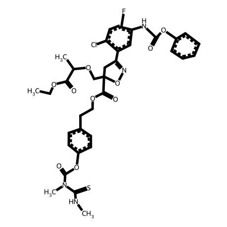 CCOC(=O)C(C)OCC1(C(=O)OCCc2ccc(OC(=O)N(C)C(=S)NC)cc2)CC(c2cc(NC(=O)Oc3ccccc3)c(F)cc2Cl)=NO1